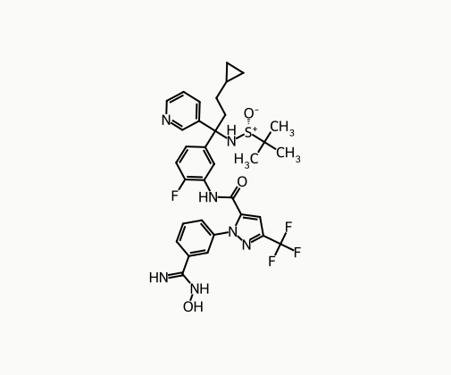 CC(C)(C)[S@@+]([O-])NC(CCC1CC1)(c1cccnc1)c1ccc(F)c(NC(=O)c2cc(C(F)(F)F)nn2-c2cccc(C(=N)NO)c2)c1